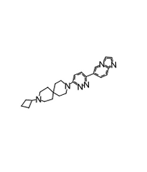 c1cn2cc(-c3ccc(N4CCC5(CC4)CCN(C4CCC4)CC5)nn3)ccc2n1